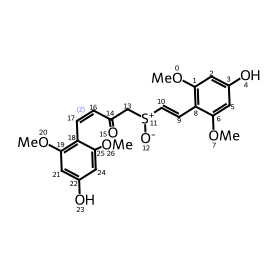 COc1cc(O)cc(OC)c1C=C[S+]([O-])CC(=O)/C=C\c1c(OC)cc(O)cc1OC